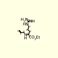 C=CCN[C@@H](CCCNC(=N)N)C(=O)OCC